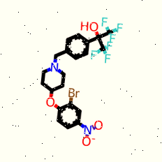 O=[N+]([O-])c1ccc(OC2CCN(Cc3ccc(C(O)(C(F)(F)F)C(F)(F)F)cc3)CC2)c(Br)c1